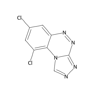 Clc1cc(Cl)c2c(c1)nnc1nncn12